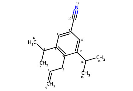 C=CCc1c(C(C)C)cc(C#N)cc1C(C)C